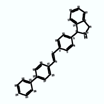 C(=C\c1ccc(C2NCc3ccccc32)cc1)/c1ccc(-c2ccccc2)cc1